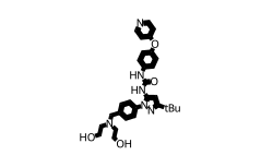 CC(C)(C)c1cc(NC(=O)Nc2ccc(Oc3ccncc3)cc2)n(-c2ccc(CN(CCO)CCO)cc2)n1